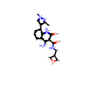 Cc1nn(C)cc1-c1cccc2c(N)c(C(=O)NCC3COC3)c(=O)[nH]c12